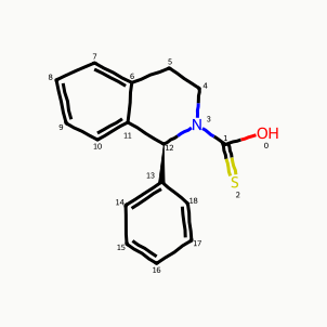 OC(=S)N1CCc2ccccc2[C@@H]1c1ccccc1